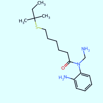 CCC(C)(C)SCCCCCC(=O)N(CN)c1ccccc1N